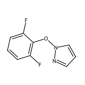 Fc1cccc(F)c1On1c[c]cn1